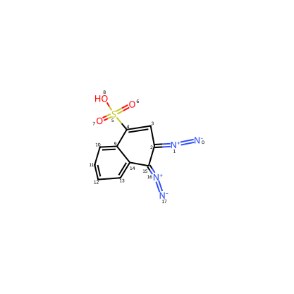 [N-]=[N+]=C1C=C(S(=O)(=O)O)c2ccccc2C1=[N+]=[N-]